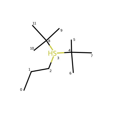 CCC[SH](C(C)(C)C)C(C)(C)C